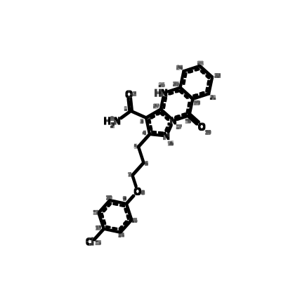 NC(=O)c1c(CCCOc2ccc(Cl)cc2)nn2c(=O)c3ccccc3[nH]c12